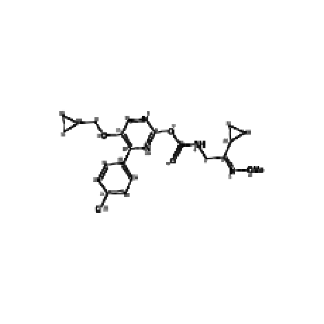 CO/N=C(/CNC(=O)Oc1ncc(OCC2CC2)c(-c2ccc(Cl)cc2)n1)C1CC1